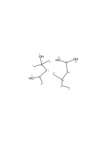 CC(O)CC(C)(C)O.CCC(C)CC(O)O